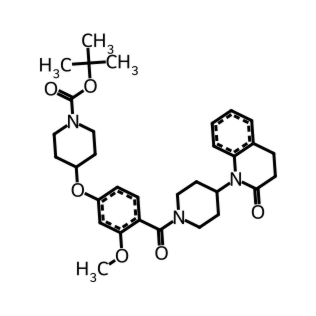 COc1cc(OC2CCN(C(=O)OC(C)(C)C)CC2)ccc1C(=O)N1CCC(N2C(=O)CCc3ccccc32)CC1